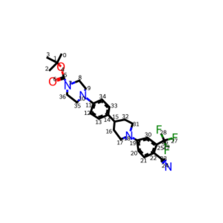 CC(C)(C)OC(=O)N1CCN(c2ccc(C3CCN(c4ccc(C#N)c(C(F)(F)F)c4)CC3)cc2)CC1